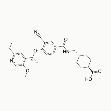 CCc1cc([C@@H](C)Oc2ccc(C(=O)NC[C@H]3CC[C@H](C(=O)O)CC3)cc2C#N)c(OC)cn1